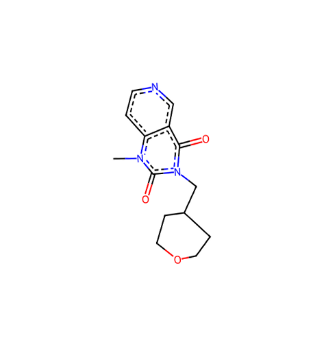 Cn1c(=O)n(CC2CCOCC2)c(=O)c2cnccc21